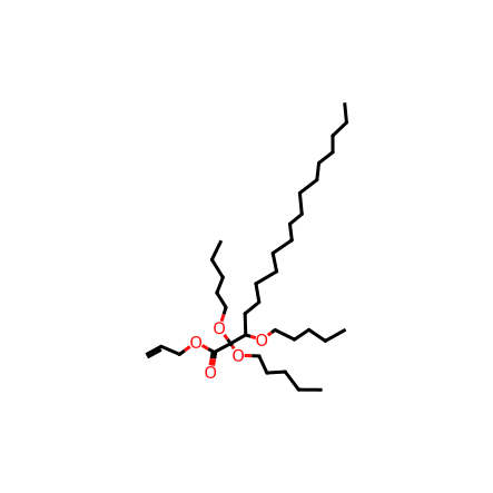 C=CCOC(=O)C(OCCCCC)(OCCCCC)C(CCCCCCCCCCCCCCC)OCCCCC